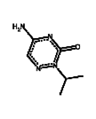 CC(C)n1ncc(N)nc1=O